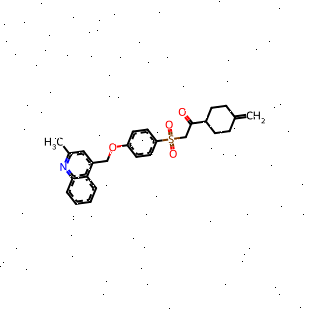 C=C1CCC(C(=O)CS(=O)(=O)c2ccc(OCc3cc(C)nc4ccccc34)cc2)CC1